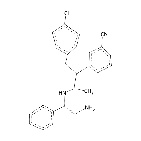 CC(N[C@H](CN)c1ccccc1)C(Cc1ccc(Cl)cc1)c1cccc(C#N)c1